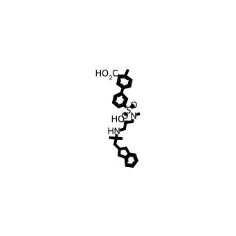 Cc1ccc(-c2cccc(S(=O)(=O)N(C)C[C@H](O)CNC(C)(C)CC3Cc4ccccc4C3)c2)cc1C(=O)O